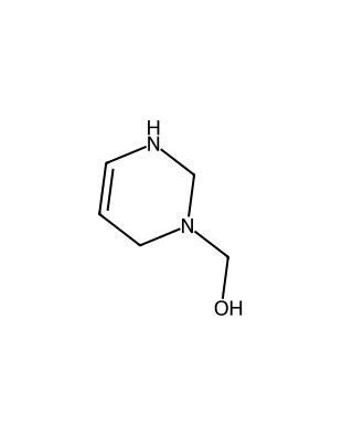 OCN1CC=CNC1